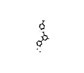 CS(=O)(=O)Nc1cccc(-c2cc(Cl)cc(-c3nc4cc(C(=N)N)ccc4[nH]3)c2O)c1